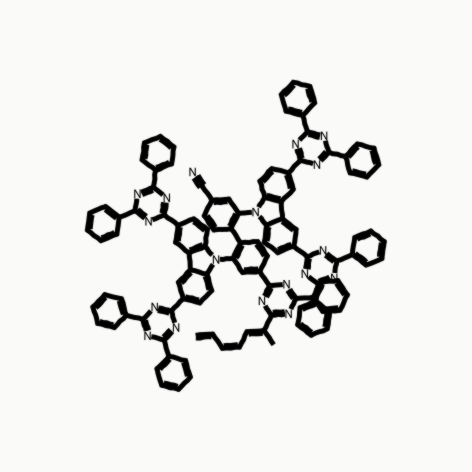 C=C/C=C\C=C(/C)c1nc(-c2ccccc2)nc(-c2ccc(-c3ccc(C#N)cc3-n3c4ccc(-c5nc(-c6ccccc6)nc(-c6ccccc6)n5)cc4c4cc(-c5nc(-c6ccccc6)nc(-c6ccccc6)n5)ccc43)c(-n3c4ccc(-c5nc(-c6ccccc6)nc(-c6ccccc6)n5)cc4c4cc(-c5nc(-c6ccccc6)nc(-c6ccccc6)n5)ccc43)c2)n1